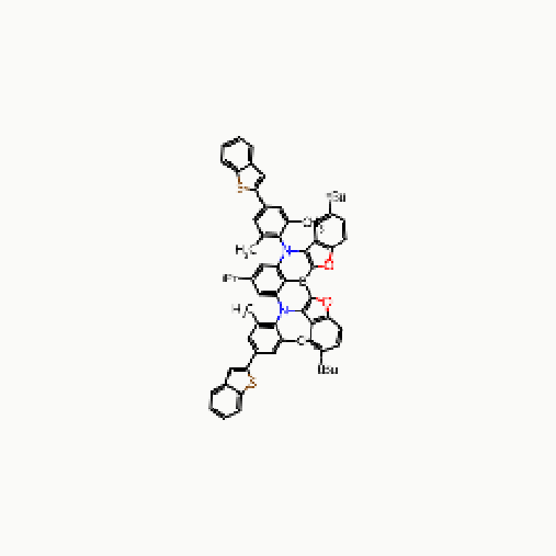 Cc1cc(-c2cc3ccccc3s2)cc(C)c1N1c2cc(C(C)C)cc3c2B(c2oc4ccc(C(C)(C)C)cc4c21)c1oc2ccc(C(C)(C)C)cc2c1N3c1c(C)cc(-c2cc3ccccc3s2)cc1C